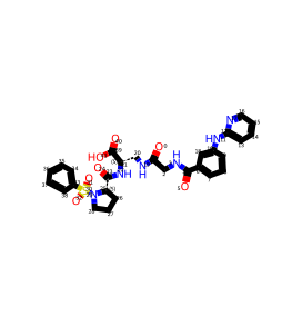 O=C(CNC(=O)c1cccc(Nc2ccccn2)c1)NC[C@H](NC(=O)[C@@H]1CCCN1S(=O)(=O)c1ccccc1)C(=O)O